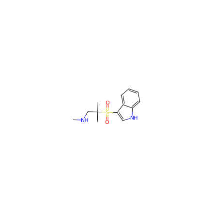 CNCC(C)(C)S(=O)(=O)c1c[nH]c2ccccc12